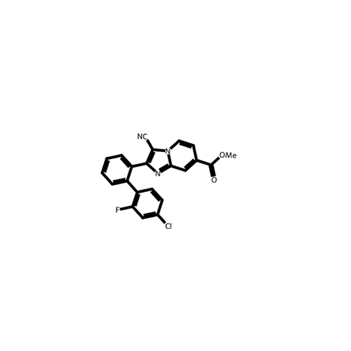 COC(=O)c1ccn2c(C#N)c(-c3ccccc3-c3ccc(Cl)cc3F)nc2c1